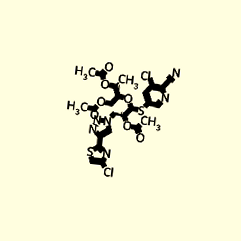 CC(=O)OCC(OC(Sc1cnc(C#N)c(Cl)c1)[C@H](Cn1cc(-c2nc(Cl)cs2)nn1)OC(C)=O)[C@@H](C)OC(C)=O